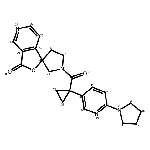 O=C1OC2(CCN(C(=O)C3(c4ccc(N5CCCC5)nc4)CC3)C2)c2ccncc21